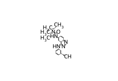 C#Cc1cccc(Nc2ncnc3ccc(NC(=O)N(C(C)CC)C(C)CC)cc23)c1